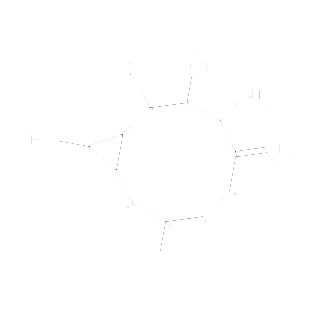 BC1C(=C)CCC(C)CC2C(C)C2C(C)C1C